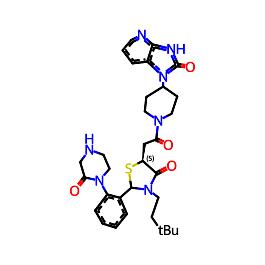 CC(C)(C)CCN1C(=O)[C@H](CC(=O)N2CCC(n3c(=O)[nH]c4ncccc43)CC2)SC1c1ccccc1N1CCNCC1=O